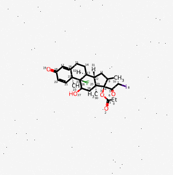 CCC(=O)O[C@]1(C(=O)CI)C(C)C[C@H]2[C@@H]3CCC4=CC(=O)C=C[C@]4(C)[C@@]3(F)C(O)C[C@@]21C